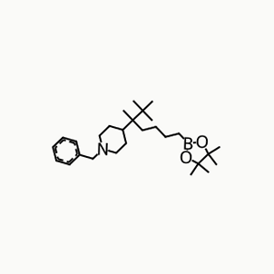 CC(C)(C)C(C)(CCCCB1OC(C)(C)C(C)(C)O1)C1CCN(Cc2ccccc2)CC1